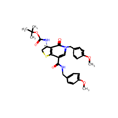 COc1ccc(CNC(=O)c2cn(Cc3ccc(OC)cc3)c(=O)c3c2SC[C@@H]3NC(=O)OC(C)(C)C)cc1